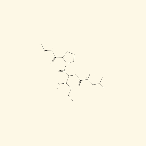 BNC(CCC)C(NC(=O)C(N)CC(C)C)C(=O)N1CCCC1C(=O)NCC